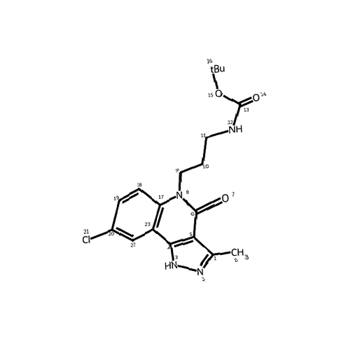 Cc1n[nH]c2c1c(=O)n(CCCNC(=O)OC(C)(C)C)c1ccc(Cl)cc21